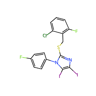 Fc1ccc(-n2c(SCc3c(F)cccc3Cl)nc(I)c2I)cc1